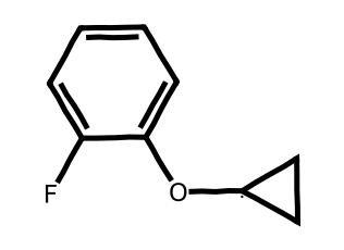 Fc1ccccc1O[C]1CC1